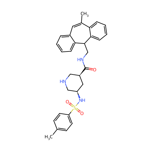 CC1=Cc2ccccc2C(CNC(=O)[C@@H]2CNC[C@H](NS(=O)(=O)c3ccc(C)cc3)C2)c2ccccc21